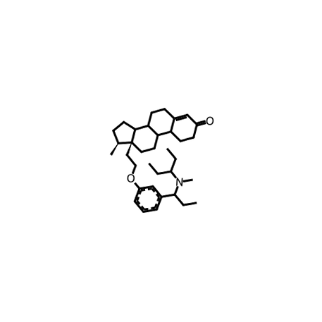 CCC(CC)N(C)C(CC)c1cccc(OCC[C@]23CCC4C5CCC(=O)C=C5CCC4C2CC[C@@H]3C)c1